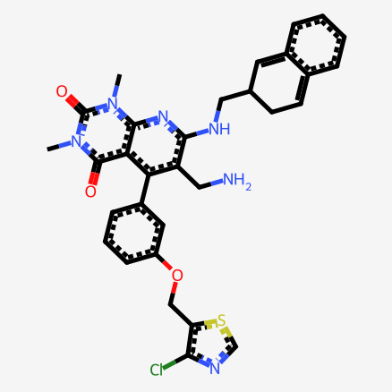 Cn1c(=O)c2c(-c3cccc(OCc4scnc4Cl)c3)c(CN)c(NCC3C=c4ccccc4=CC3)nc2n(C)c1=O